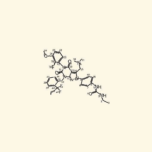 CCNC(=O)Nc1ccc(-n2nc3c(c2CN(C)C)c(=O)n(-c2cccc(OC)c2F)c(=O)n3Cc2ccccc2C(F)(F)F)cc1